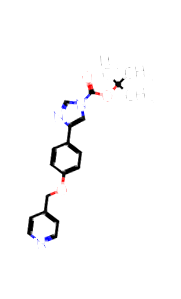 CC(C)(C)OC(=O)n1cnc(-c2ccc(OCc3ccncc3)cc2)c1